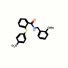 COc1ccccc1CNC(=O)c1ccccc1Sc1ccc([N+](=O)[O-])cc1